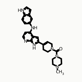 CN1CCN(C(=O)N2CC=C(c3cc4c(Nc5ccc6[nH]ccc6c5)ccnc4[nH]3)CC2)CC1